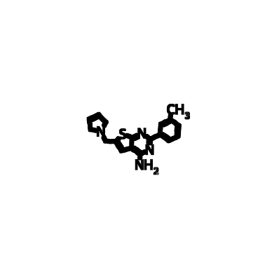 Cc1cccc(-c2nc(N)c3cc(CN4CC=CC4)sc3n2)c1